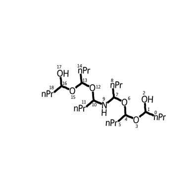 CCCC(O)OC(CCC)OC(CCC)NC(CCC)OC(CCC)OC(O)CCC